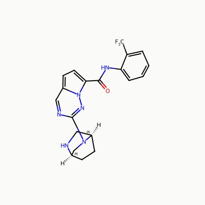 O=C(Nc1ccccc1C(F)(F)F)c1ccc2cnc(N3C[C@H]4CC[C@@H]3CN4)nn12